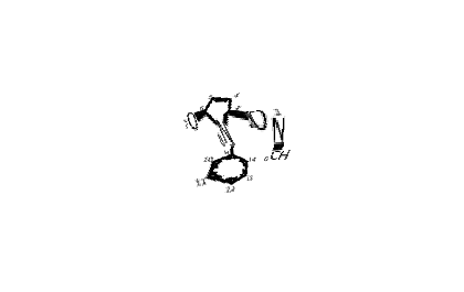 C#N.O=C1C=CC(=O)N1c1ccccc1